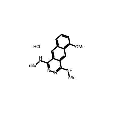 CCCCNc1nnc(NCCCC)c2cc3c(OC)cccc3cc12.Cl